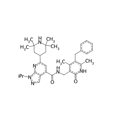 Cc1[nH]c(=O)c(CNC(=O)c2cc(C3CC(C)(C)NC(C)(C)C3)nc3c2cnn3C(C)C)c(C)c1Cc1ccccc1